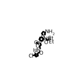 CCC(CC)C(=O)Nc1cc(N2CC(CNC(=O)c3ccc(Cl)s3)OC2=O)ccc1N1CCC(N)C1